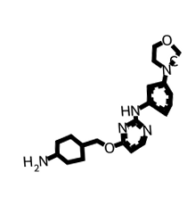 NC1CCC(COc2ccnc(Nc3cccc(N4CCOCC4)c3)n2)CC1